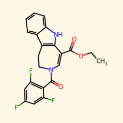 CCOC(=O)C1=CN(C(=O)c2c(F)cc(F)cc2F)CCc2c1[nH]c1ccccc21